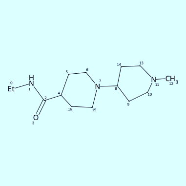 CCNC(=O)C1CCN(C2CCN(C)CC2)CC1